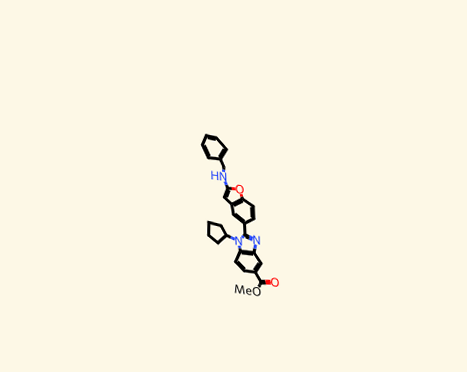 COC(=O)c1ccc2c(c1)nc(-c1ccc3oc(NCc4ccccc4)cc3c1)n2C1CCCC1